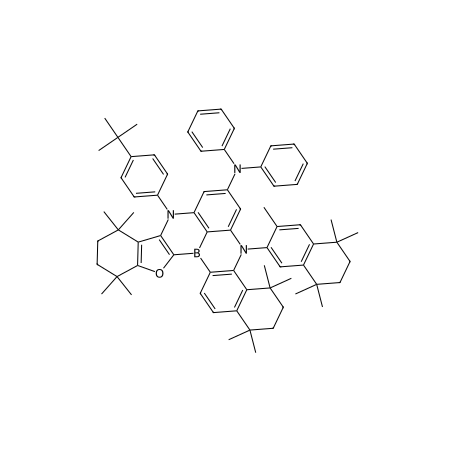 Cc1cc2c(cc1N1c3cc(N(c4ccccc4)c4ccccc4)cc4c3B(c3ccc5c(c31)C(C)(C)CCC5(C)C)c1oc3c(c1N4c1ccc(C(C)(C)C)cc1)C(C)(C)CCC3(C)C)C(C)(C)CCC2(C)C